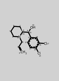 C=CCN1CCCC[C@H]1[C@@H](O)c1ccc(Cl)c(Cl)c1